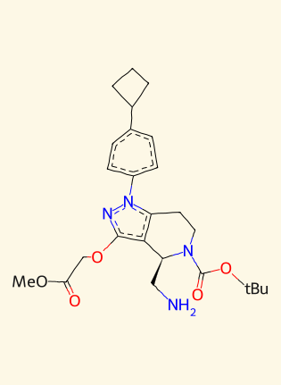 COC(=O)COc1nn(-c2ccc(C3CCC3)cc2)c2c1[C@H](CN)N(C(=O)OC(C)(C)C)CC2